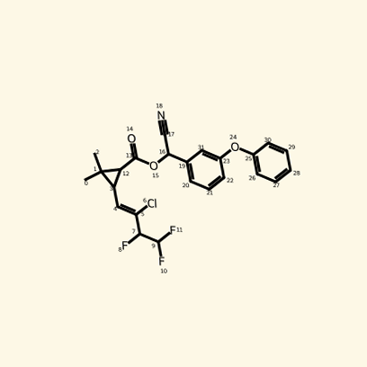 CC1(C)C(C=C(Cl)C(F)C(F)F)C1C(=O)OC(C#N)c1cccc(Oc2ccccc2)c1